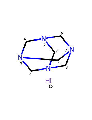 C1N2CN3CN1CN(C2)C3.I